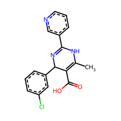 CC1=C(C(=O)O)C(c2cccc(Cl)c2)N=C(c2cccnc2)N1